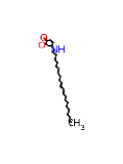 CCCCCCCCCCCCCCCCCCCCCCNC1=CC(=O)C(=O)C=C1